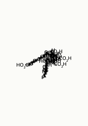 CC(C)[C@H](NC(=O)[C@H](CCC(=O)O)NC(=O)[C@H](CC(=O)O)NC(=O)[C@H]1O[C@@H](CNC(=O)Cn2cc(CCCF)nn2)[C@H](O)[C@@H](O)[C@H]1O)C(=O)N[C@@H](CC(=O)O)C(=O)N[C@@H](C)C(=O)NCCOCCOCCOCCOCCC(=O)O